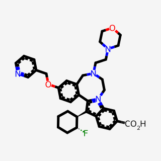 O=C(O)c1ccc2c([C@@H]3CCCC[C@H]3F)c3n(c2c1)CCN(CCN1CCOCC1)Cc1cc(OCc2cccnc2)ccc1-3